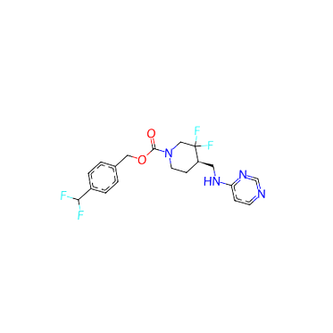 O=C(OCc1ccc(C(F)F)cc1)N1CC[C@H](CNc2ccncn2)C(F)(F)C1